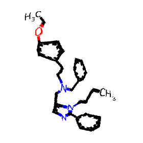 CCCCn1c(CN(CCc2ccc(OCC)cc2)Cc2ccccc2)cnc1-c1ccccc1